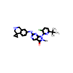 CC(C)n1c(=O)c2cnc(Nc3ccc4c(c3)CNCC43CC3)nc2n1-c1nc(C(C)(C)C#N)ccc1F